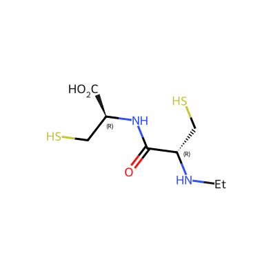 CCN[C@@H](CS)C(=O)N[C@@H](CS)C(=O)O